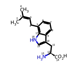 CC(C)=CCc1cccc2c(C[C@H](N)C(=O)O)c[nH]c12